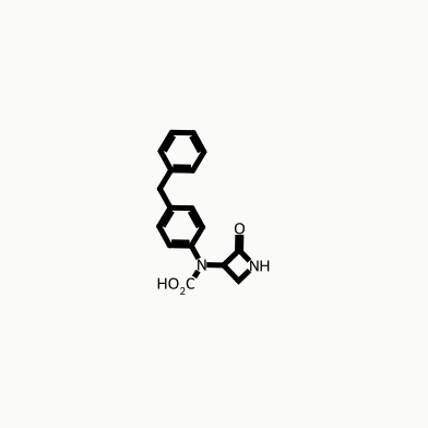 O=C1NCC1N(C(=O)O)c1ccc(Cc2ccccc2)cc1